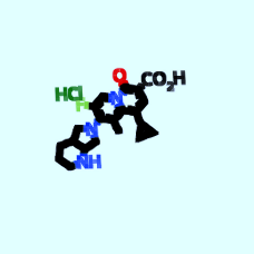 Cc1c(N2CC3CCCNC3C2)c(F)cn2c(=O)c(C(=O)O)cc(C3CC3)c12.Cl